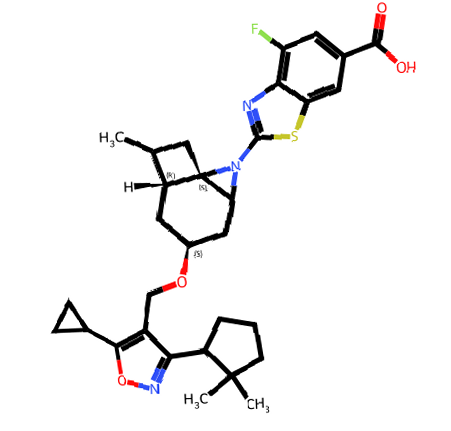 CC1C[C@@]23C(C[C@@H](OCc4c(C5CCCC5(C)C)noc4C4CC4)C[C@H]12)N3c1nc2c(F)cc(C(=O)O)cc2s1